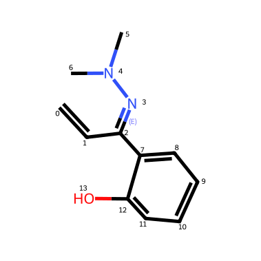 C=C/C(=N\N(C)C)c1ccccc1O